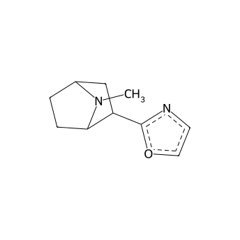 CN1C2CCC1C(c1ncco1)C2